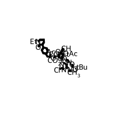 C#C[C@@]1(OC(C)=O)[C@@H](COC(Cc2ccc(-c3cccn(CC)c3=O)cc2)(C(=O)OCC)C(=O)OCC)O[C@@H](n2cnc3c(N(C)C(=O)OC(C)(C)C)nc(Cl)nc32)[C@@H]1OC(C)=O